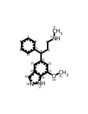 CNCCC(c1ccccc1)c1cc(OC)c2[nH]ncc2c1